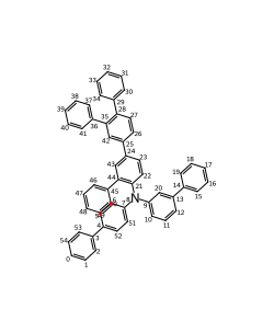 c1ccc(-c2ccc(N(c3cccc(-c4ccccc4)c3)c3ccc(-c4ccc(-c5ccccc5)c(-c5ccccc5)c4)cc3-c3ccccc3)cc2)cc1